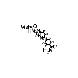 CNC(=O)Nc1cn2nc(-c3ccc(C(N)=O)cc3)ccc2n1